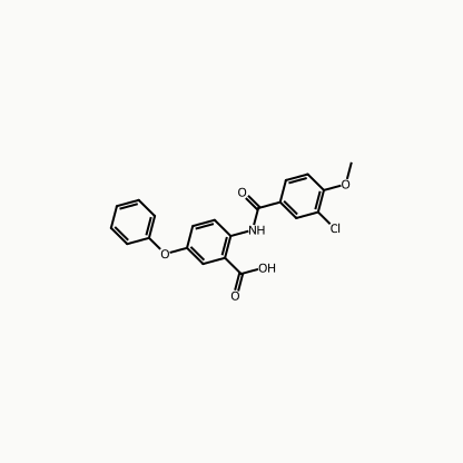 COc1ccc(C(=O)Nc2ccc(Oc3ccccc3)cc2C(=O)O)cc1Cl